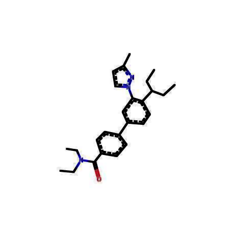 CCC(CC)c1ccc(-c2ccc(C(=O)N(CC)CC)cc2)cc1-n1ccc(C)n1